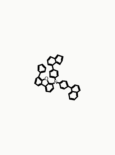 c1ccc(-c2cccc3c2oc2c(N(c4ccc(-c5cccc6ccccc56)cc4)c4ccc(-c5cccc6ccccc56)cc4)cccc23)cc1